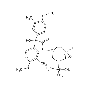 COc1ccc(C(O)(C(=O)O[C@@H]2CC[C@H]3OC3C([N+](C)(C)C)C2)c2ccc(OC)c(C)c2)cc1C